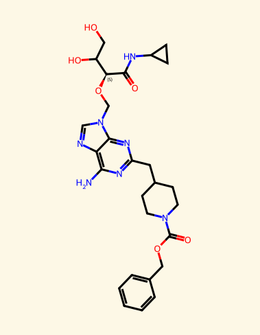 Nc1nc(CC2CCN(C(=O)OCc3ccccc3)CC2)nc2c1ncn2CO[C@H](C(=O)NC1CC1)C(O)CO